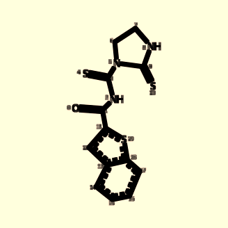 O=C(NC(=S)N1CCNC1=S)c1cc2ccccc2s1